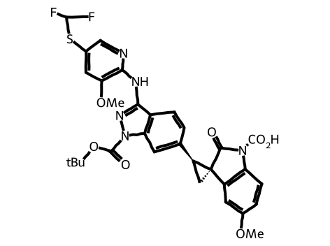 COc1ccc2c(c1)[C@]1(C[C@H]1c1ccc3c(Nc4ncc(SC(F)F)cc4OC)nn(C(=O)OC(C)(C)C)c3c1)C(=O)N2C(=O)O